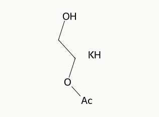 CC(=O)OCCO.[KH]